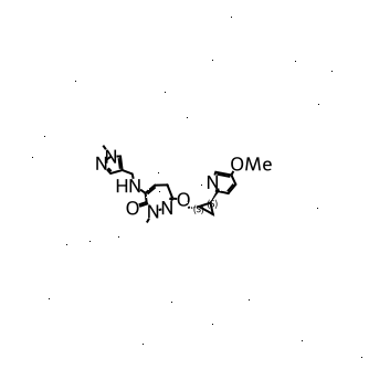 COc1ccc([C@H]2C[C@@H]2COC2=NN(C)C(=O)C(NCc3cnn(C)c3)=CC2)nc1